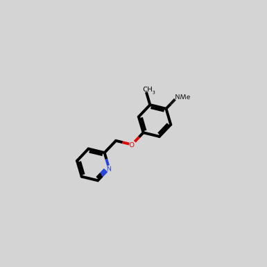 CNc1ccc(OCc2ccccn2)cc1C